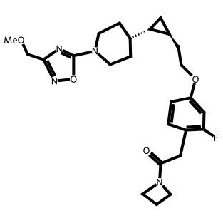 COCc1noc(N2CCC([C@@H]3C[C@H]3CCOc3ccc(CC(=O)N4CCC4)c(F)c3)CC2)n1